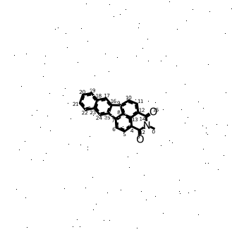 CN1C(=O)c2ccc3c4c(ccc(c24)C1=O)-c1cc2ccccc2cc1-3